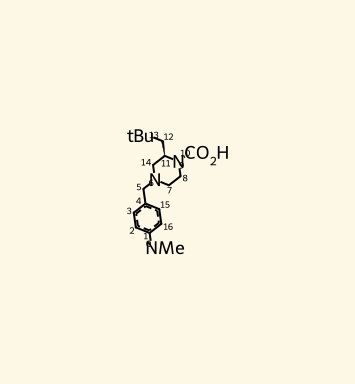 CNc1ccc(CN2CCN(C(=O)O)[C@H](CC(C)(C)C)C2)cc1